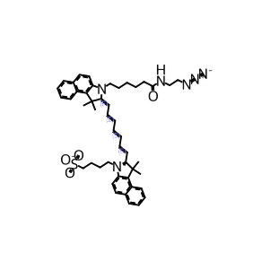 CC1(C)C(/C=C/C=C/C=C/C=C2/N(CCCCCC(=O)NCCN=[N+]=[N-])c3ccc4ccccc4c3C2(C)C)=[N+](CCCCS(=O)(=O)[O-])c2ccc3ccccc3c21